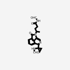 CC(CCC(=O)NC=O)N1C(=O)c2cccc3c(C4(NC=O)CC4)ncc1c23